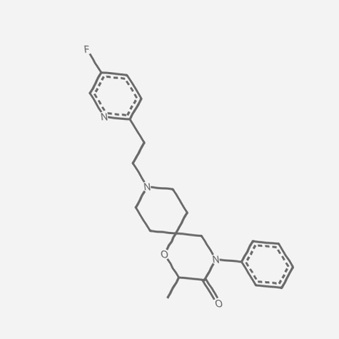 CC1OC2(CCN(CCc3ccc(F)cn3)CC2)CN(c2ccccc2)C1=O